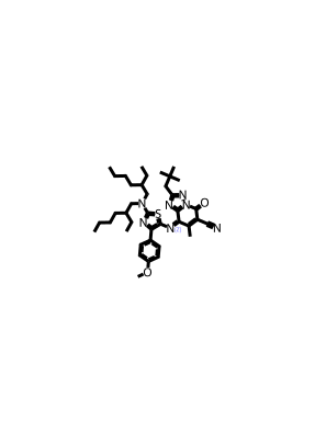 CCCCC(CC)CN(CC(CC)CCCC)c1nc(-c2ccc(OC)cc2)c(/N=C2/C(C)=C(C#N)C(=O)n3nc(CC(C)(C)C)nc32)s1